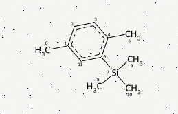 Cc1ccc(C)c([Si](C)(C)C)c1